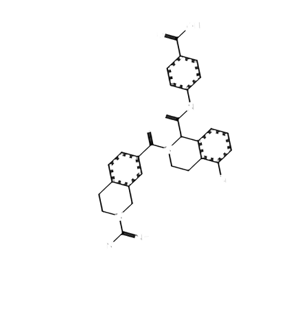 N=C(N)N1CCc2ccc(C(=O)N3CCc4c(Br)cccc4C3C(=O)Nc3ccc(C(=O)O)cc3)cc2C1